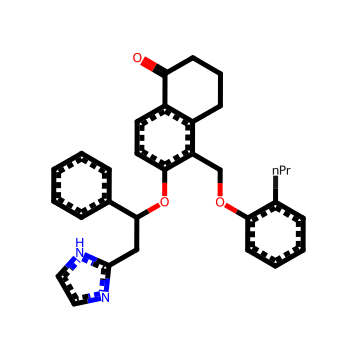 CCCc1ccccc1OCc1c(OC(Cc2ncc[nH]2)c2ccccc2)ccc2c1CCCC2=O